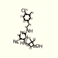 Cc1cc(CCNc2ncc(C#N)c(N[C@@H]3C[C@H](O)C3(C)C)n2)ccc1Cl